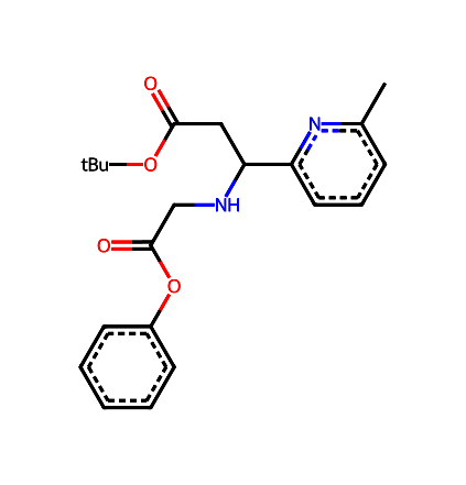 Cc1cccc(C(CC(=O)OC(C)(C)C)NCC(=O)Oc2ccccc2)n1